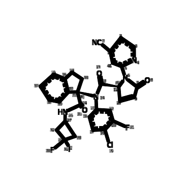 N#Cc1ccnc(N2C(=O)C=C[C@H]2C(=O)N(c2ccc(Cl)c(F)c2)[C@]2(C(=O)NC3CC(F)(F)C3)CCc3ccccc32)c1